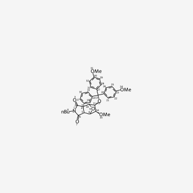 CCCCN1C(=O)C2C(C1=O)C1OC2[C@@H](OC(c2ccccc2)(c2ccc(OC)cc2)c2ccc(OC)cc2)[C@H]1OC